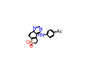 CC(=O)c1ccc(Nc2ncnc3ccc4c(c23)CCS4(=O)=O)cc1